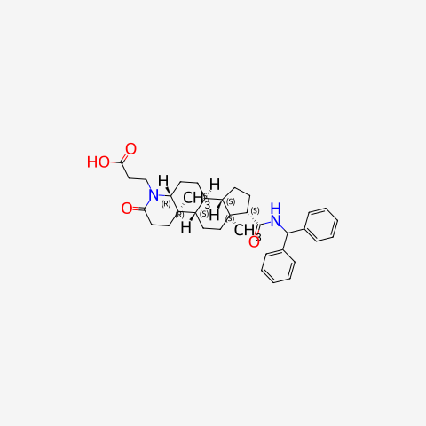 C[C@]12CC[C@H]3[C@@H](CC[C@H]4N(CCC(=O)O)C(=O)CC[C@]34C)[C@@H]1CC[C@@H]2C(=O)NC(c1ccccc1)c1ccccc1